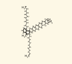 CCCCCCCCCCCCc1c(CCCCCCCCCCCC)c(CCCCCCCCCCCC)c2c(CCCCCCCCCCCC)cccc2c1C